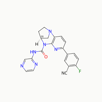 N#Cc1cc(-c2ccc3c(n2)N(C(=O)Nc2cnccn2)[C@H]2CCN3C2)ccc1F